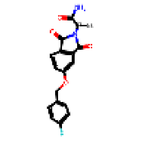 CC[C@H](C(N)=O)N1C(=O)c2ccc(OCc3ccc(F)cc3)cc2C1=O